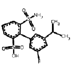 CC(C)c1cc(F)cc(-c2c(S(N)(=O)=O)cccc2S(=O)(=O)O)c1